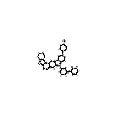 Brc1ccc(-c2ccc3c(c2)c2cc4c(ccc5oc6c(c54)C=CCC6)cc2n3-c2cccc(-c3ccccc3)c2)cc1